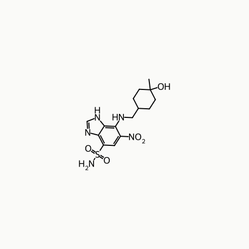 CC1(O)CCC(CNc2c([N+](=O)[O-])cc(S(N)(=O)=O)c3nc[nH]c23)CC1